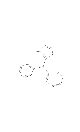 CC(C)C1=C(C(c2ccccc2)c2ccccc2)CC=C1